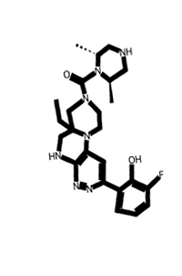 CCC12CNc3nnc(-c4cccc(F)c4O)cc3N1CCN(C(=O)N1[C@H](C)CNC[C@H]1C)C2